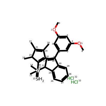 COc1cc(OC)cc(C2=C[CH]([Zr]([CH3])([CH3])(=[SiH2])[C]3=C(C)C(C)=C(C)C3C)c3ccccc32)c1.Cl.Cl